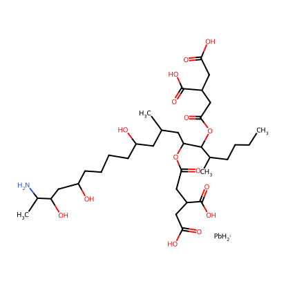 CCCCC(C)C(OC(=O)CC(CC(=O)O)C(=O)O)C(CC(C)CC(O)CCCCC(O)CC(O)C(C)N)OC(=O)CC(CC(=O)O)C(=O)O.[PbH2]